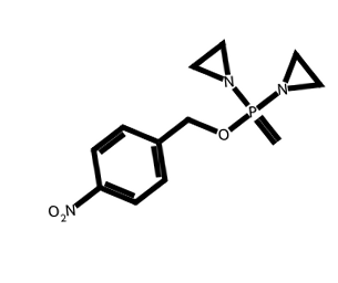 C=P(OCc1ccc([N+](=O)[O-])cc1)(N1CC1)N1CC1